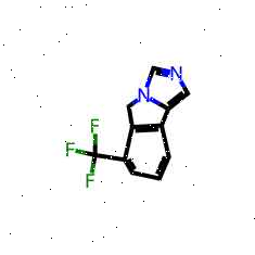 FC(F)(F)c1cccc2c1Cn1cncc1-2